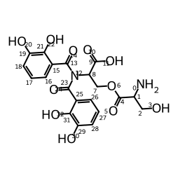 NC(CO)C(=O)OCC(C(=O)O)N(C(=O)c1cccc(O)c1O)C(=O)c1cccc(O)c1O